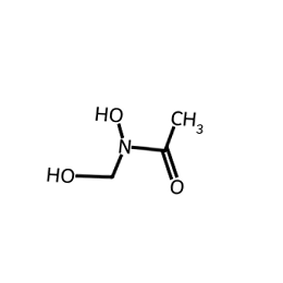 CC(=O)N(O)CO